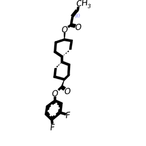 C/C=C/C(=O)O[C@H]1CC[C@H]([C@H]2CC[C@H](C(=O)Oc3ccc(F)c(F)c3)CC2)CC1